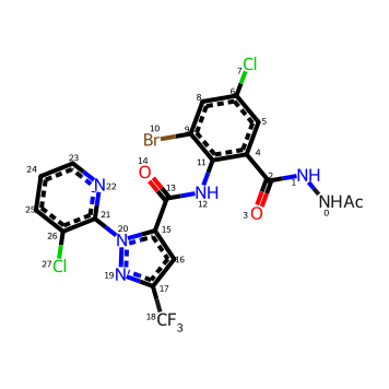 CC(=O)NNC(=O)c1cc(Cl)cc(Br)c1NC(=O)c1cc(C(F)(F)F)nn1-c1ncccc1Cl